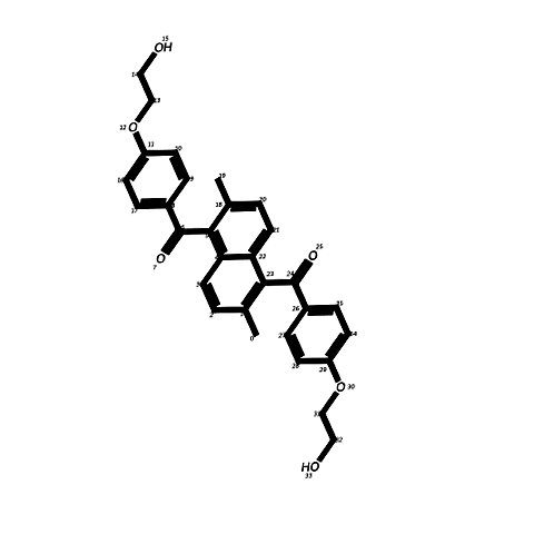 Cc1ccc2c(C(=O)c3ccc(OCCO)cc3)c(C)ccc2c1C(=O)c1ccc(OCCO)cc1